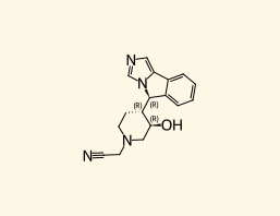 N#CCN1CC[C@H]([C@@H]2c3ccccc3-c3cncn32)[C@@H](O)C1